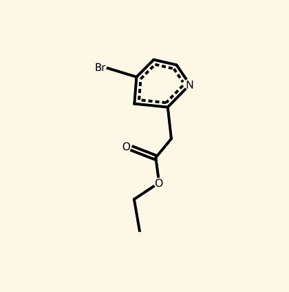 CCOC(=O)Cc1cc(Br)ccn1